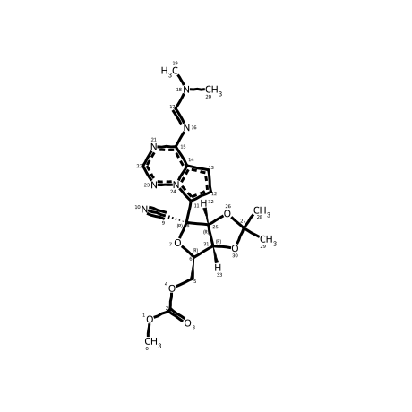 COC(=O)OC[C@H]1O[C@@](C#N)(c2ccc3c(N=CN(C)C)ncnn23)[C@@H]2OC(C)(C)O[C@@H]21